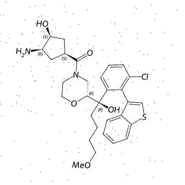 COCCCC[C@@](O)(c1cccc(Cl)c1-c1csc2ccccc12)[C@H]1CN(C(=O)[C@H]2C[C@@H](N)[C@@H](O)C2)CCO1